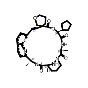 C[C@@H]1NC(=O)[C@H](C2CCCC2)OC(=O)C2(/C=C/c3ccc4ccc(nc4c3)[C@@H](C)NC(=O)[C@@H]3CCCN(N3)C1=O)CCCOC2